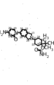 CC(C)(C)C1(OC(N)=O)CCC(N2Cc3ccc(-n4ccc(N)nc4=O)cc3C2)CC1